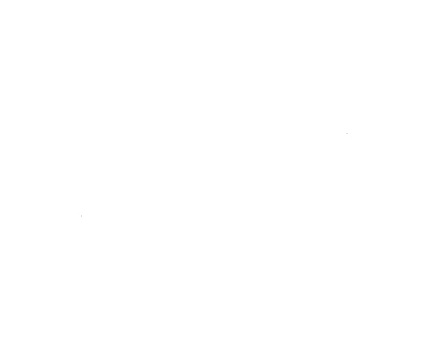 c1ccc2c(c1)sc1cccc(-c3cccc4sc5ccccc5c34)c12